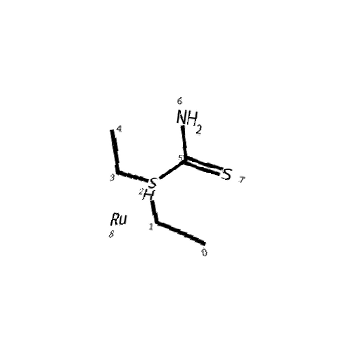 CC[SH](CC)C(N)=S.[Ru]